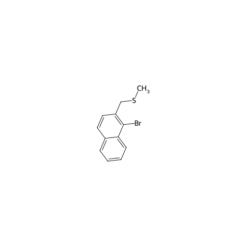 CSCc1ccc2ccccc2c1Br